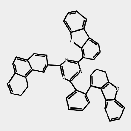 C1=Cc2ccc3ccc(-c4nc(-c5ccccc5C5=CCCc6oc7ccccc7c65)nc(-c5cccc6c5oc5ccccc56)n4)cc3c2CC1